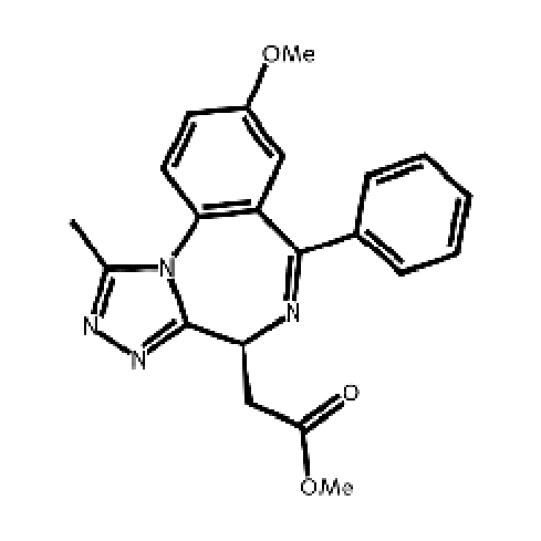 COC(=O)C[C@@H]1N=C(c2ccccc2)c2cc(OC)ccc2-n2c(C)nnc21